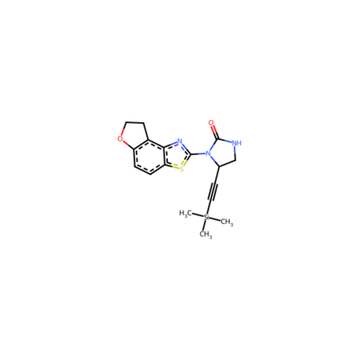 C[Si](C)(C)C#CC1CNC(=O)N1c1nc2c3c(ccc2s1)OCC3